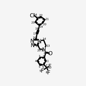 O=C(c1cccc(C(F)(F)F)c1)N1CCn2c(C#Cc3cccc(Cl)c3)nnc2C1